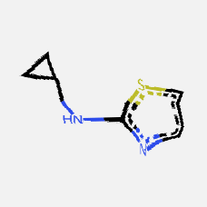 c1csc(NC2CC2)n1